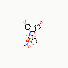 COC(=O)C1(c2nc(-c3ccc(OC)cc3)c(-c3ccc(OC)cc3)o2)CCCCN1C(=O)N(C)O